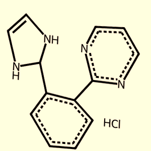 C1=CNC(c2ccccc2-c2ncccn2)N1.Cl